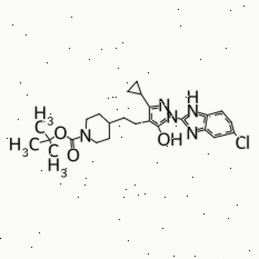 CC(C)(C)OC(=O)N1CCC(CCc2c(C3CC3)nn(-c3nc4cc(Cl)ccc4[nH]3)c2O)CC1